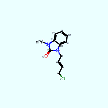 CCCn1c(=O)n(CC=CCCl)c2ccccc21